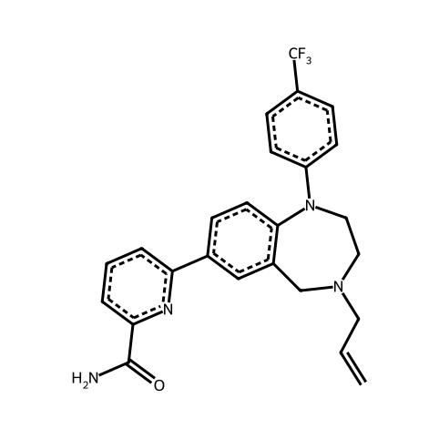 C=CCN1CCN(c2ccc(C(F)(F)F)cc2)c2ccc(-c3cccc(C(N)=O)n3)cc2C1